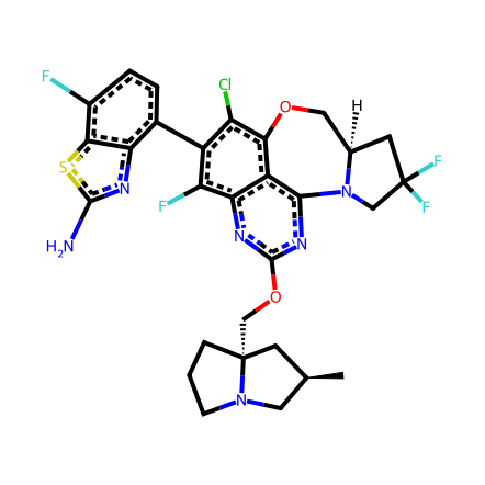 C[C@H]1CN2CCC[C@@]2(COc2nc3c4c(c(Cl)c(-c5ccc(F)c6sc(N)nc56)c(F)c4n2)OC[C@H]2CC(F)(F)CN32)C1